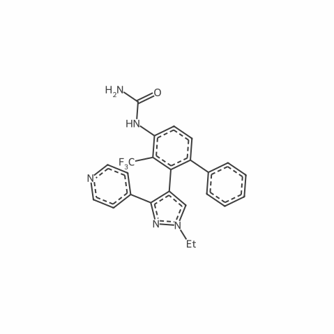 CCn1cc(-c2c(-c3ccccc3)ccc(NC(N)=O)c2C(F)(F)F)c(-c2ccncc2)n1